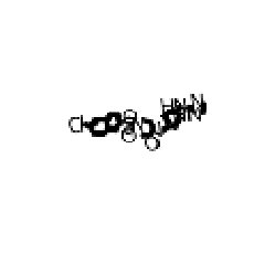 O=C1CN(S(=O)(=O)c2ccc3cc(Cl)ccc3c2)CCN1Cc1ccc(Nc2ncc[nH]2)cc1